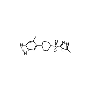 Cc1nnc(S(=O)(=O)C2CCC(c3cn4ncnc4cc3C)CC2)o1